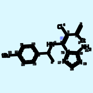 C=C(CC)/C(Cl)=C(/NC(C)c1ccc(C(C)(C)C)cc1)n1ncnc1N